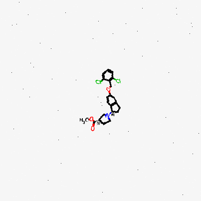 COC(=O)[C@H]1CCN([C@@H]2CCc3cc(OCc4c(Cl)cccc4Cl)ccc32)C1